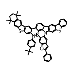 CC(C)(C)c1ccc(N2B3c4cc5oc(-c6ccccc6)cc5cc4-n4c5cc6sc7ccccc7c6cc5c5ccc(c3c54)-c3cc4c(cc32)sc2cc3c(cc24)C(C)(C)CCC3(C)C)cc1